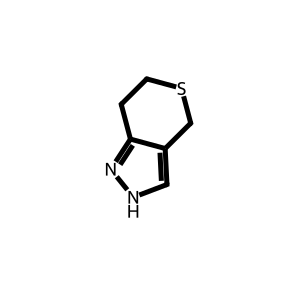 c1[nH]nc2c1CSCC2